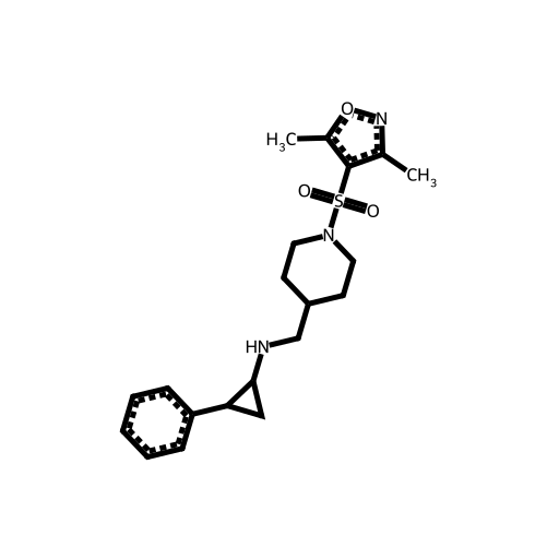 Cc1noc(C)c1S(=O)(=O)N1CCC(CNC2CC2c2ccccc2)CC1